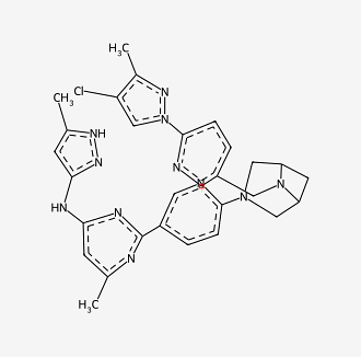 Cc1cc(Nc2cc(C)[nH]n2)nc(-c2ccc(N3CC4CC(C3)N4Cc3ccc(-n4cc(Cl)c(C)n4)nc3)nc2)n1